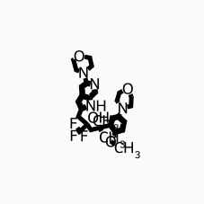 COc1ccc(N2CCOCC2)cc1C(C)(C)CC(O)(Cc1cc2cc(N3CCOCC3)ncc2[nH]1)C(F)(F)F